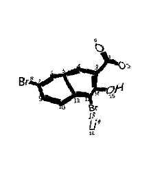 O=C([O-])c1cc2cc(Br)ccc2c(Br)c1O.[Li+]